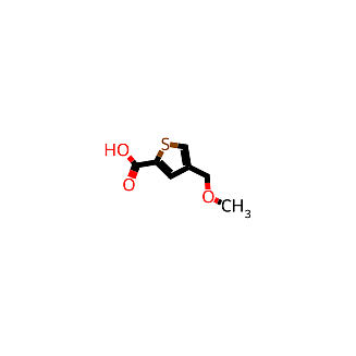 COCc1csc(C(=O)O)c1